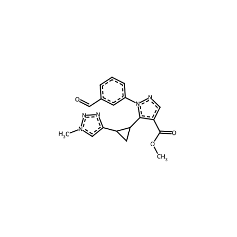 COC(=O)c1cnn(-c2cccc(C=O)c2)c1C1CC1c1cn(C)nn1